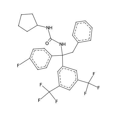 O=C(NC1CCCC1)NC(Cc1ccccc1)(c1ccc(F)cc1)c1cc(C(F)(F)F)cc(C(F)(F)F)c1